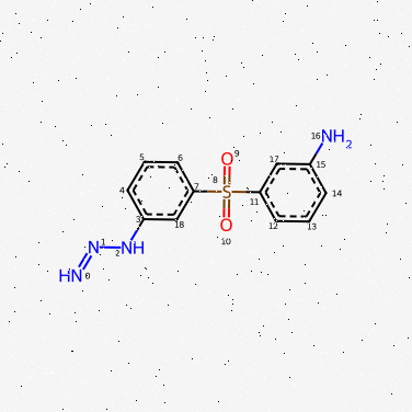 N=NNc1cccc(S(=O)(=O)c2cccc(N)c2)c1